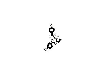 O=C(OC[C@H]1O[CH]C[C@@H]1OC(=O)c1ccc(Cl)cc1)c1ccc(Cl)cc1